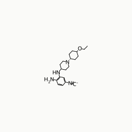 [C-]#[N+]c1ccc(N)c(NC2CCN([C@H]3CC[C@H](OCC)CC3)CC2)c1